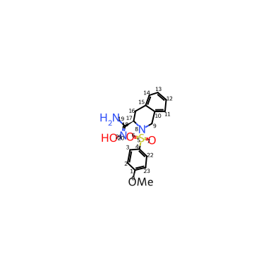 COc1ccc(S(=O)(=O)N2Cc3ccccc3C[C@@H]2C(N)=NO)cc1